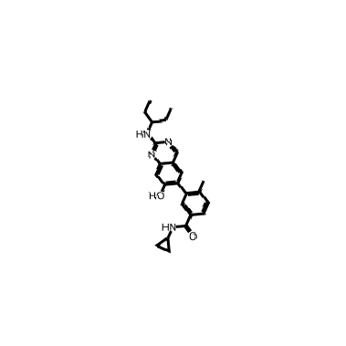 CCC(CC)Nc1ncc2cc(-c3cc(C(=O)NC4CC4)ccc3C)c(O)cc2n1